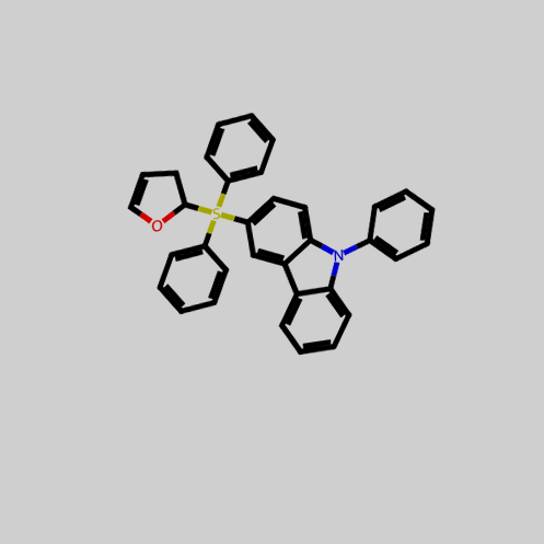 C1=COC(S(c2ccccc2)(c2ccccc2)c2ccc3c(c2)c2ccccc2n3-c2ccccc2)C1